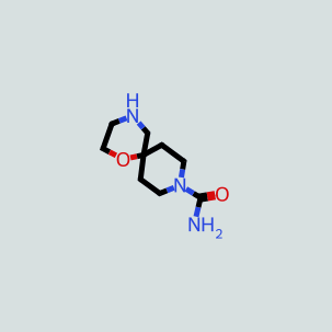 NC(=O)N1CCC2(CC1)CNCCO2